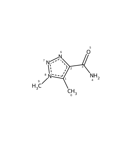 Cc1c(C(N)=O)nnn1C